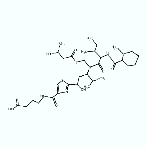 CCC(C)C(NC(=O)C1CCCCN1C)C(=O)N(COC(=O)CC(C)C)C(CC(O)c1nc(C(=O)NCCCC(=O)O)cs1)C(C)C